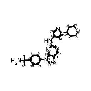 CC(C)(N)c1ccc(-n2nnc3cnc(Nc4cnn(C5CCOCC5)c4)nc32)cc1